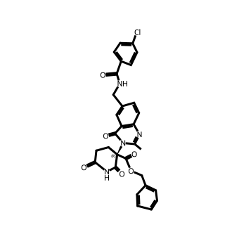 Cc1nc2ccc(CNC(=O)c3ccc(Cl)cc3)cc2c(=O)n1[C@]1(C(=O)OCc2ccccc2)CCC(=O)NC1=O